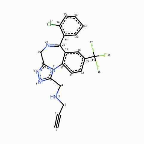 C#CCNCc1nnc2n1-c1ccc(C(F)(F)F)cc1C(c1ccccc1Cl)=NC2